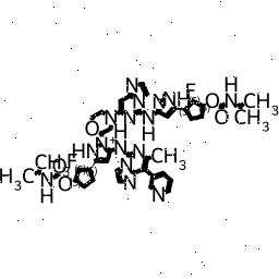 Cc1nc(Nc2cc([C@@H]3CC[C@H](OC(=O)NC(C)C)[C@H]3F)[nH][n+]2C2CN(c3cc4nccn4c(Nc4cc([C@@H]5CC[C@H](OC(=O)NC(C)C)[C@H]5F)[nH]n4)n3)CCO2)n2ccnc2c1-c1cccnc1